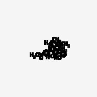 C=CC(=O)N1CCN2c3nc(=O)n(-c4c(C(C)C)nn(C)c4C)c4nc(-c5c(O)cccc5F)c(F)c(c34)OC[C@H]2C1